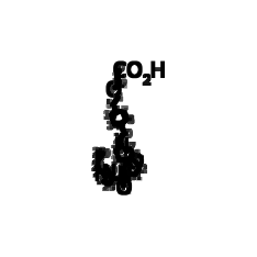 O=C(O)CCOCCc1ccc(CCN2CCC3(CC2)CN(C(=O)c2ccn(CC4CC4)n2)CCO3)cc1